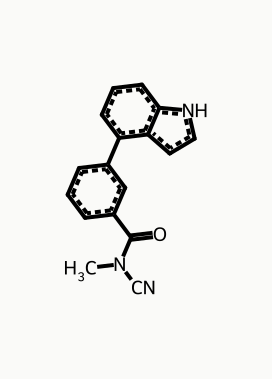 CN(C#N)C(=O)c1cccc(-c2cccc3[nH]ccc23)c1